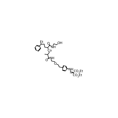 CCOC(=O)C(=NNc1ccc(CCOCCNC(=O)C(C)[CH2][Co][CH](CCC(CC)c2ccccc2)C(=O)NCCO)cc1)C(=O)OCC